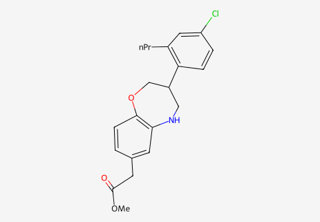 CCCc1cc(Cl)ccc1C1CNc2cc(CC(=O)OC)ccc2OC1